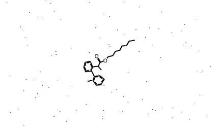 CCCCCCCCOC(=O)C(C)c1ccccc1-c1ccccc1C